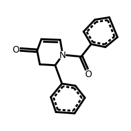 O=C1C=CN(C(=O)c2ccccc2)C(c2ccccc2)C1